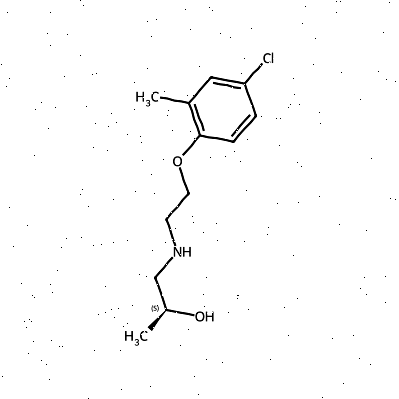 Cc1cc(Cl)ccc1OCCNC[C@H](C)O